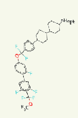 CCCCCCCC1CCC(C2CCC(c3ccc(C(F)(F)Oc4ccc(-c5cc(F)c(C(F)(F)OC(F)(F)F)c(F)c5)c(F)c4)cc3)CC2)CC1